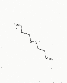 C=CCCSSCCC=C